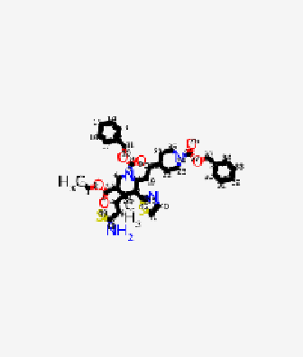 CCOC(=O)C1CN(C(=O)OCc2ccccc2)C(CCC2CCN(C(=O)OCc3ccccc3)CC2)C(c2nccs2)C1(C)CCC(N)=S